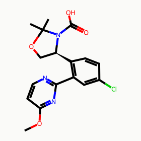 COc1ccnc(-c2cc(Cl)ccc2[C@H]2COC(C)(C)N2C(=O)O)n1